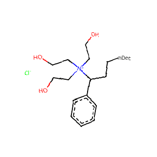 CCCCCCCCCCCCC(c1ccccc1)[N+](CCO)(CCO)CCO.[Cl-]